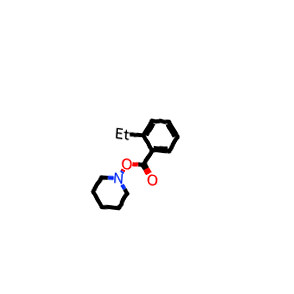 CCc1ccccc1C(=O)ON1CCCCC1